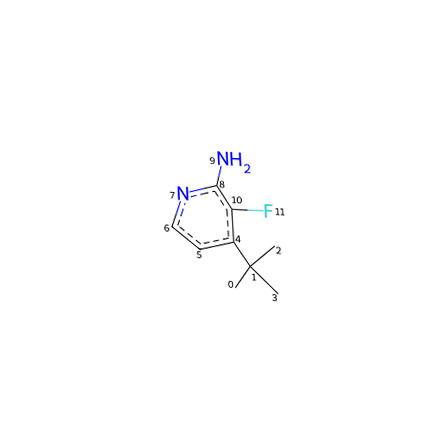 CC(C)(C)c1ccnc(N)c1F